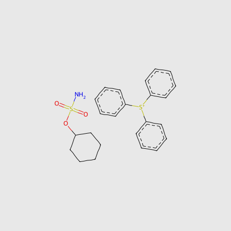 NS(=O)(=O)OC1CCCCC1.c1ccc([S+](c2ccccc2)c2ccccc2)cc1